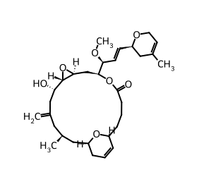 C=C1C[C@H](C)C[C@@H]2CC=C[C@@H](CCCC(=O)O[C@H]([C@H](/C=C/[C@@H]3CC(C)=CCO3)OC)C[C@@H]3O[C@H]3[C@@H](O)C1)O2